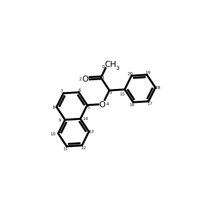 CC(=O)C(Oc1cccc2ccccc12)c1ccccc1